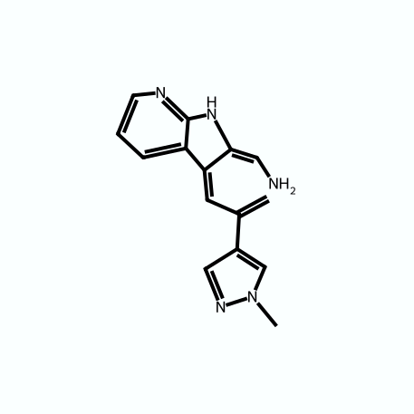 C=C(/C=c1\c(=C/N)[nH]c2ncccc12)c1cnn(C)c1